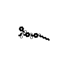 CCCCCCCOc1ccc(C(=O)Oc2ccc(CN(CC(C)=O)C(=O)c3ccccc3)cc2)cc1